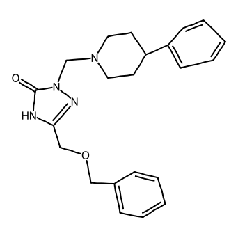 O=c1[nH]c(COCc2ccccc2)nn1CN1CCC(c2ccccc2)CC1